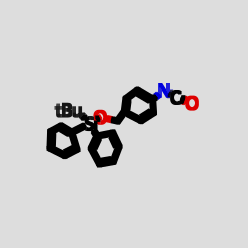 CC(C)(C)[Si](OCc1ccc(N=C=O)cc1)(c1ccccc1)c1ccccc1